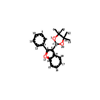 CC1(C)OB(c2c(-c3ccccc3)oc3ccccc23)OC1(C)C